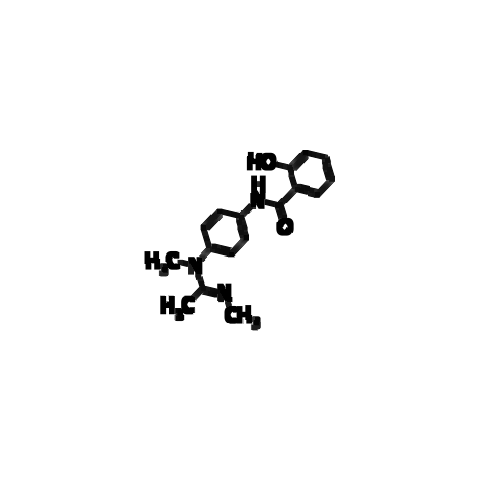 CN=C(C)N(C)c1ccc(NC(=O)c2ccccc2O)cc1